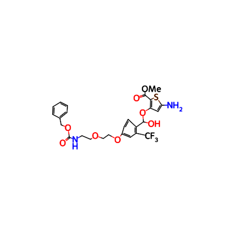 COC(=O)c1sc(N)cc1OC(O)c1ccc(OCCOCCNC(=O)OCc2ccccc2)cc1C(F)(F)F